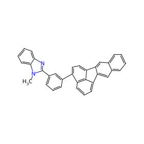 Cn1c(-c2cccc(-c3ccc4c5c(cccc35)-c3cc5ccccc5cc3-4)c2)nc2ccccc21